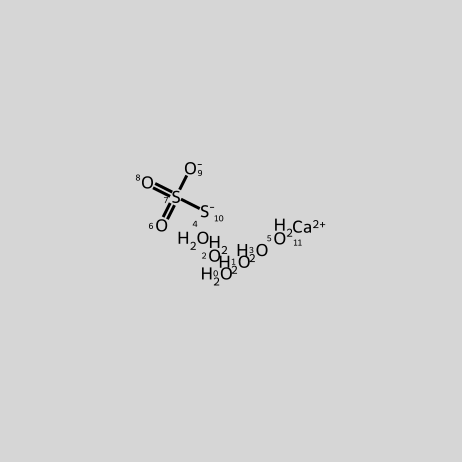 O.O.O.O.O.O.O=S(=O)([O-])[S-].[Ca+2]